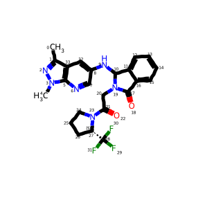 Cc1nn(C)c2ncc(NC3c4ccccc4C(=O)N3CC(=O)N3CCC[C@H]3C(F)(F)F)cc12